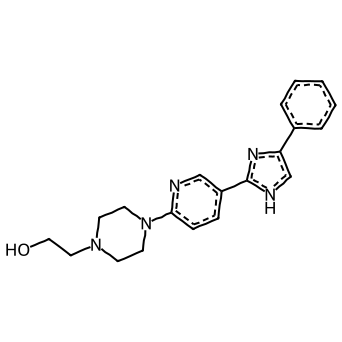 OCCN1CCN(c2ccc(-c3nc(-c4ccccc4)c[nH]3)cn2)CC1